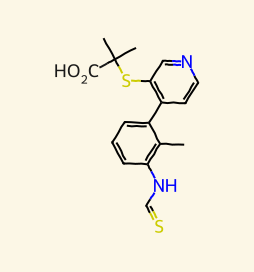 Cc1c(NC=S)cccc1-c1ccncc1SC(C)(C)C(=O)O